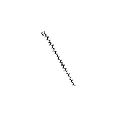 CCCCCCCCCCCCCCCCCCCCCCCCCCCCCCCCCCCCCC(C)CC